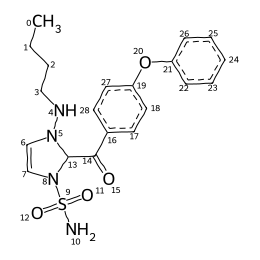 CCCCNN1C=CN(S(N)(=O)=O)C1C(=O)c1ccc(Oc2ccccc2)cc1